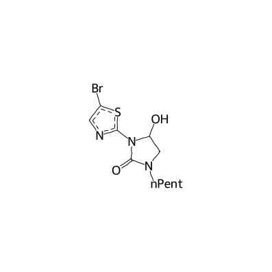 CCCCCN1CC(O)N(c2ncc(Br)s2)C1=O